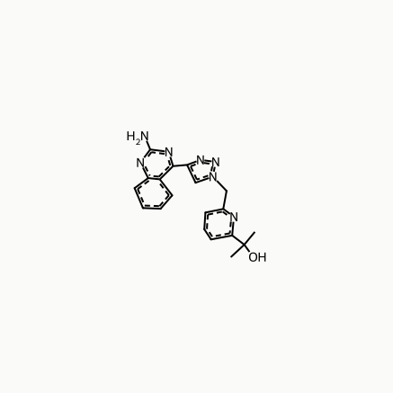 CC(C)(O)c1cccc(Cn2cc(-c3nc(N)nc4ccccc34)nn2)n1